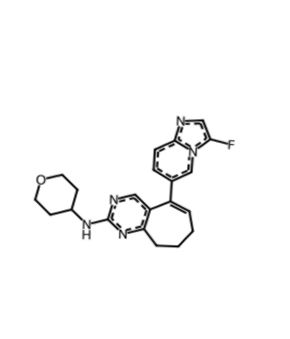 Fc1cnc2ccc(C3=CCCCc4nc(NC5CCOCC5)ncc43)cn12